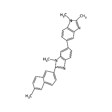 Cc1ccc2cc(-c3nc4ccc(-c5ccc6c(c5)nc(C)n6C)cc4n3C)ccc2c1